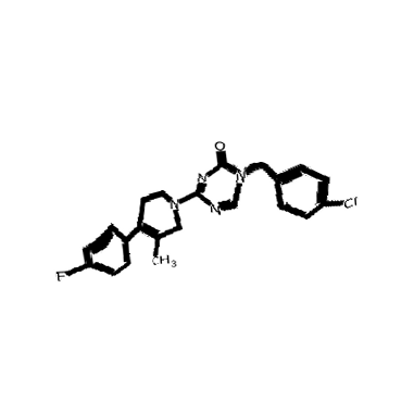 CC1=C(c2ccc(F)cc2)CCN(c2ncn(Cc3ccc(Cl)cc3)c(=O)n2)C1